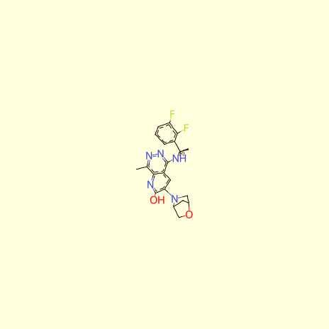 Cc1nnc(N[C@H](C)c2cccc(F)c2F)c2cc(N3CC4CC3CO4)c(O)nc12